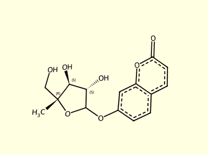 C[C@]1(CO)OC(Oc2ccc3ccc(=O)oc3c2)[C@@H](O)[C@@H]1O